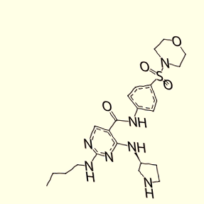 CCCCNc1ncc(C(=O)Nc2ccc(S(=O)(=O)N3CCOCC3)cc2)c(N[C@H]2CCNC2)n1